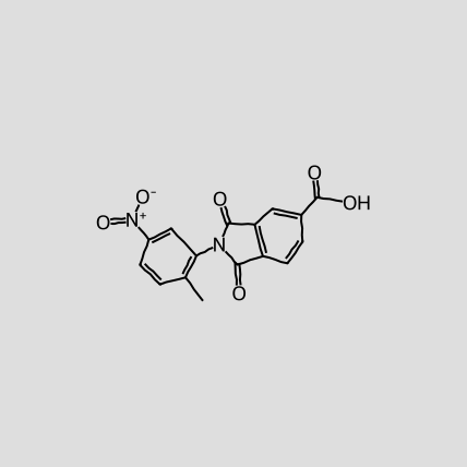 Cc1ccc([N+](=O)[O-])cc1N1C(=O)c2ccc(C(=O)O)cc2C1=O